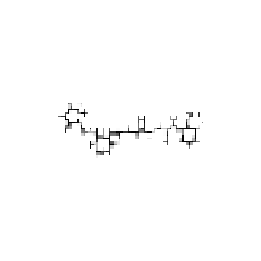 Nc1ccccc1C(=O)NCCNCCc1nc2c(NCc3ncccc3F)ncnc2s1